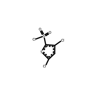 O=S(=O)(Cl)c1sc(Cl)cc1Cl